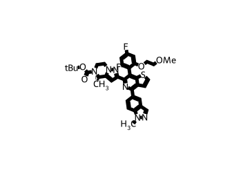 COCCOc1cc(F)cc(F)c1-c1c(-c2cc3n(n2)CCN(C(=O)OC(C)(C)C)[C@@H]3C)nc(-c2ccc3c(cnn3C)c2)c2ccsc12